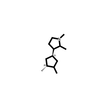 CC1C[C@H](C2CCN(C)C2C)C[C@H]1C